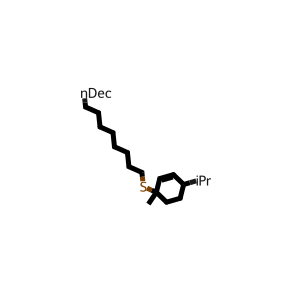 CCCCCCCCCCCCCCCCCCSC1(C)C=CC(C(C)C)CC1